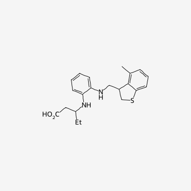 CCC(CC(=O)O)Nc1ccccc1NCC1CSc2cccc(C)c21